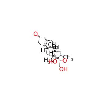 CC1C[C@H]2[C@@H]3CCC4=CC(=O)CC[C@]4(C)[C@H]3CC[C@]2(C)[C@@]1(O)C(=O)CO